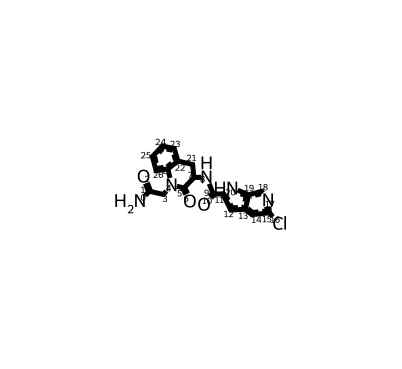 NC(=O)CN1C(=O)C(NC(=O)c2cc3cc(Cl)ncc3[nH]2)Cc2ccccc21